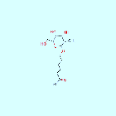 CC(C)C(=O)CCCCCO[C@@H]1OC(CO)[C@H](O)[C@H](O)C1C